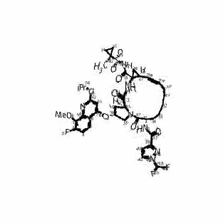 COc1c(F)ccc2c(O[C@@H]3C[C@H]4C(=O)N[C@]5(C(=O)NS(=O)(=O)C6(C)CC6)C[C@H]5/C=C\CCCCC[C@H](NC(=O)c5ccn(C(F)F)n5)C(=O)N4C3)cc(OC(C)C)nc12